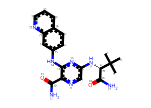 CC(C)(C)[C@@H](Nc1cnc(C(N)=O)c(Nc2ccc3cccnc3c2)n1)C(N)=O